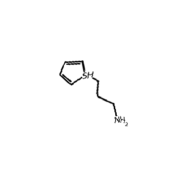 NCCC[SH]1C=CC=C1